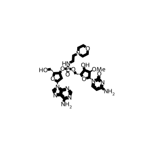 CO[C@@H]1C(O)[C@@H](COP(=O)(NCCN2CCOCC2)OC2C[C@H](n3cnc4c(N)ncnc43)O[C@@H]2CO)O[C@H]1n1ccc(N)nc1=O